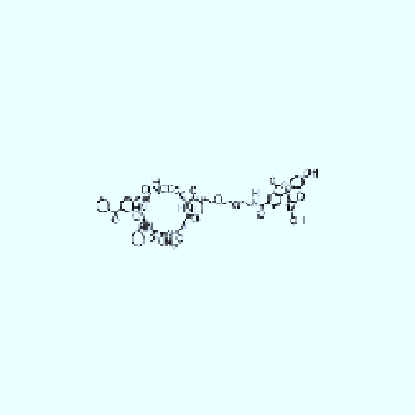 C[C@@H]1NC(=O)/C=C/C(=O)N[C@H](C(=O)NCCOCCOCCNC(=O)c2ccc3c(c2)C(=O)OC32c3ccc(O)cc3Oc3cc(O)ccc32)CCCCNC(=O)[C@@H](Cc2ccc(C(=O)c3ccccc3)cc2)NC(=O)[C@H](CC2CCCCC2)NC1=O